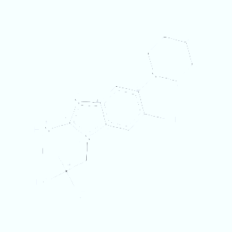 Cc1cc2c(cc1N1CCCCC1)nc(N)n2CC(C)(C)O